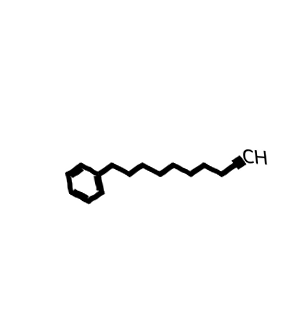 C#CCCCCCCCCc1ccccc1